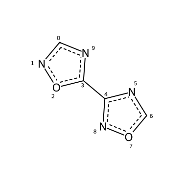 c1noc(-c2ncon2)n1